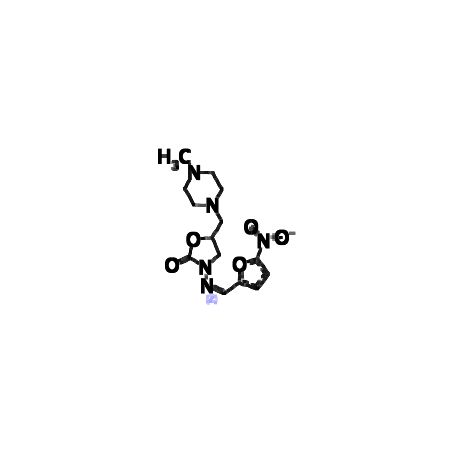 CN1CCN(CC2CN(/N=C\c3ccc([N+](=O)[O-])o3)C(=O)O2)CC1